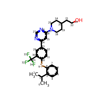 CC(C)c1ccccc1Sc1ccc(-c2cc(N3CCC(CCO)CC3)ncn2)cc1C(F)(F)F